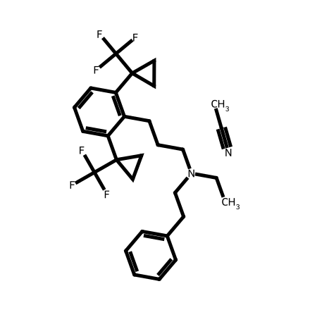 CC#N.CCN(CCCc1c(C2(C(F)(F)F)CC2)cccc1C1(C(F)(F)F)CC1)CCc1ccccc1